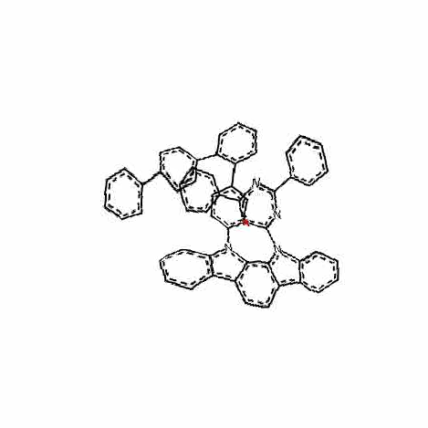 c1ccc(-c2ccc(-c3ccccc3-c3ccc(-n4c5ccccc5c5ccc6c7ccccc7n(-c7nc(-c8ccccc8)nc(-c8ccccc8)n7)c6c54)cc3)cc2)cc1